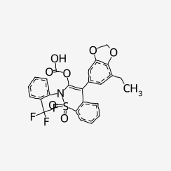 CCc1cc(C2=C(OC(=O)O)N(c3ccccc3C(F)(F)F)S(=O)(=O)c3ccccc32)cc2c1OCO2